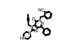 CC#CCn1c(N2CCNCC2)nc2c(-c3ccccc3)nn(Cc3ccccc3C#N)c(=O)c21